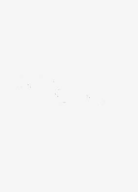 COC(C)(C)C(=O)N[C@@H](CCCNC(=O)OC(C)(C)C)C(=O)COc1ccon1